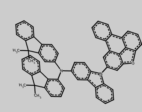 CC1(C)c2ccccc2-c2ccc(N(c3ccc4c(c3)c3ccccc3n4-c3cc4oc5cccc6c7ccccc7c(c3)c4c56)c3cccc4c3-c3ccccc3C4(C)C)cc21